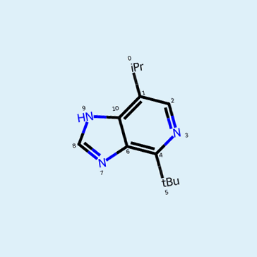 CC(C)c1cnc(C(C)(C)C)c2nc[nH]c12